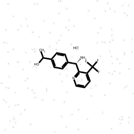 CC(O)c1ccc([C@H](N)c2ncccc2C(F)(F)F)cc1.Cl